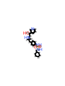 CC(C)(Cc1ccc(NS(=O)(=O)NCC2CCCCC2)cc1)NC[C@H](O)c1cccnc1